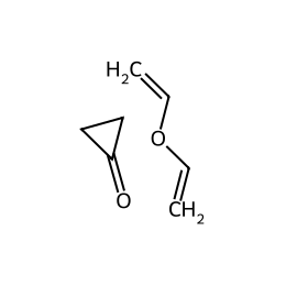 C=COC=C.O=C1CC1